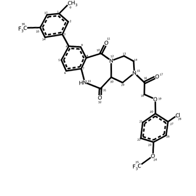 Cc1cc(-c2ccc3c(c2)C(=O)N2CCN(C(=O)COc4ccc(OC(F)(F)F)cc4Cl)CC2C(=O)N3)cc(C(F)(F)F)c1